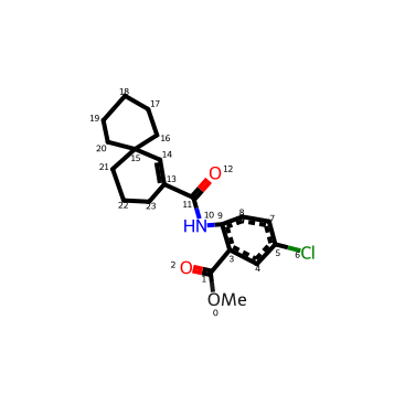 COC(=O)c1cc(Cl)ccc1NC(=O)C1=CC2(CCCCC2)CCC1